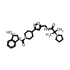 CC(C)(C(=O)NCc1cc(C2CCN(C(=O)[C@@H]3C[C@H](O)c4ccccc43)CC2)no1)N1CCCC1